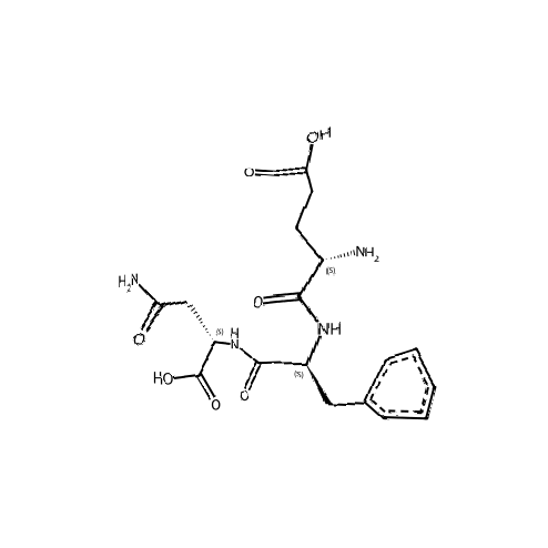 NC(=O)C[C@H](NC(=O)[C@H](Cc1ccccc1)NC(=O)[C@@H](N)CCC(=O)O)C(=O)O